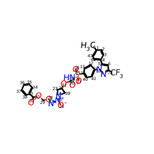 Cc1ccc(-c2cc(C(F)(F)F)nn2-c2ccc(S(=O)(=O)NC(=O)OC3CN(/[N+]([O-])=N\OCOC(=O)c4ccccc4)C3)cc2)cc1